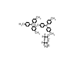 Cc1ccc(P(c2ccc(C)cc2)c2ccc(C)cc2)cc1.Cc1ccc(P(c2ccc(C)cc2)c2ccc(C)cc2)cc1.O=C([O-])C(F)(F)F.O=C([O-])C(F)(F)F.[Pd+2]